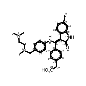 CN(C)CCN(C)Cc1ccc(NC(=C2C(=O)Nc3cc(F)ccc32)c2ccc(CC(=O)O)cc2)cc1